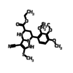 CCOC(=O)C1CC(c2ccc(OC)c(OC)c2OC)N2NC(SC)=C(C#N)C2N1